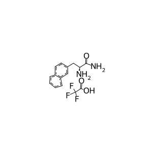 NC(=O)[C@@H](N)Cc1ccc2ccccc2c1.O=C(O)C(F)(F)F